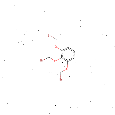 BrCOc1cccc(OCBr)c1OCBr